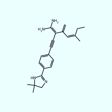 C=C(/C=C(/C)CC)C(C#Cc1ccc(C2=NCC(C)(C)N2)cc1)=C(N)N